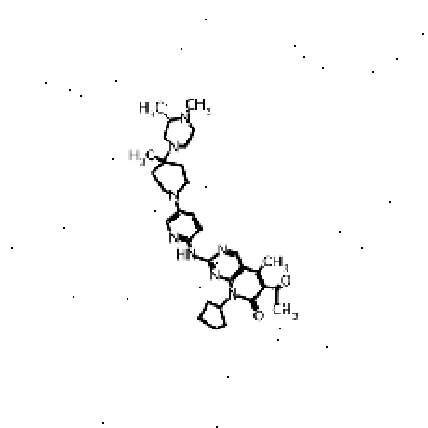 CC(=O)c1c(C)c2cnc(Nc3ccc(N4CCC(C)(N5CCN(C)[C@H](C)C5)CC4)cn3)nc2n(C2CCCC2)c1=O